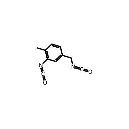 Cc1ccc(CN=C=O)cc1N=C=O